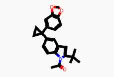 CC(=O)n1c(C(C)(C)C)cc2cc(C3(c4ccc5c(c4)OCO5)CC3)ccc21